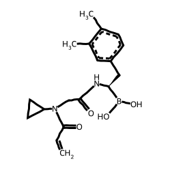 C=CC(=O)N(CC(=O)N[C@@H](Cc1ccc(C)c(C)c1)B(O)O)C1CC1